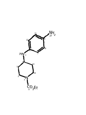 CCOC(=O)N1CCC(Nc2ccc(N)cc2)CC1